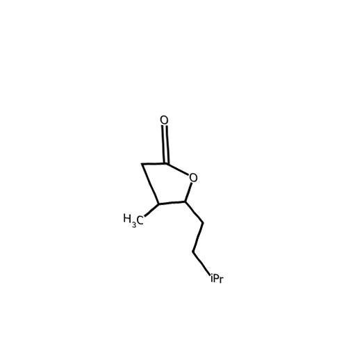 CC(C)CCC1OC(=O)CC1C